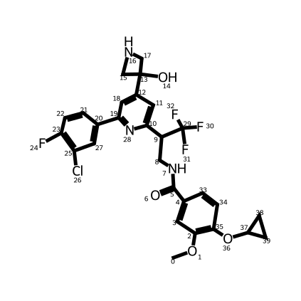 COc1cc(C(=O)NCC(c2cc(C3(O)CNC3)cc(-c3ccc(F)c(Cl)c3)n2)C(F)(F)F)ccc1OC1CC1